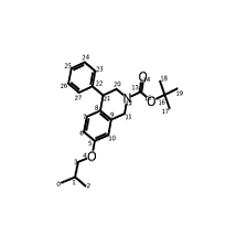 CC(C)COc1ccc2c(c1)CN(C(=O)OC(C)(C)C)CC2c1ccccc1